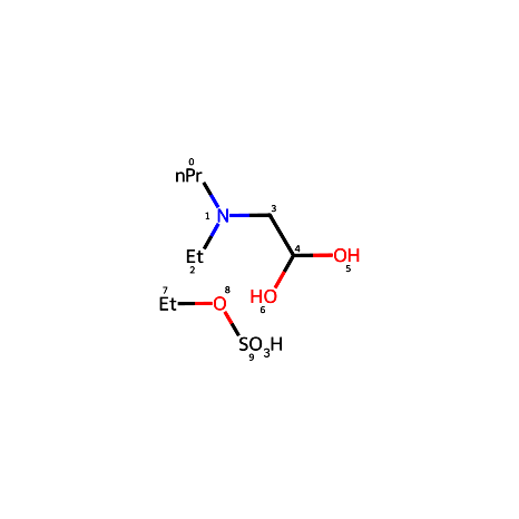 CCCN(CC)CC(O)O.CCOS(=O)(=O)O